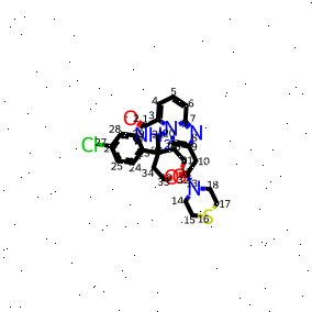 NC(=O)C1=CC=CC2=NC(CC(=O)N3CCSCC3)=C[N+]12CC1(c2ccc(Cl)cc2)CCOCC1